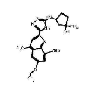 Cc1cc(-c2nnc(N[C@H]3CC[C@](C)(O)C3)[nH]2)nc2c(C(C)(C)C)cc(OCC(F)(F)F)cc12